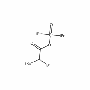 CC(C)P(=O)(OC(=O)C(Br)C(C)(C)C)C(C)C